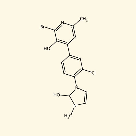 Cc1cc(-c2ccc(N3C=CN(C)C3O)c(Cl)c2)c(O)c(Br)n1